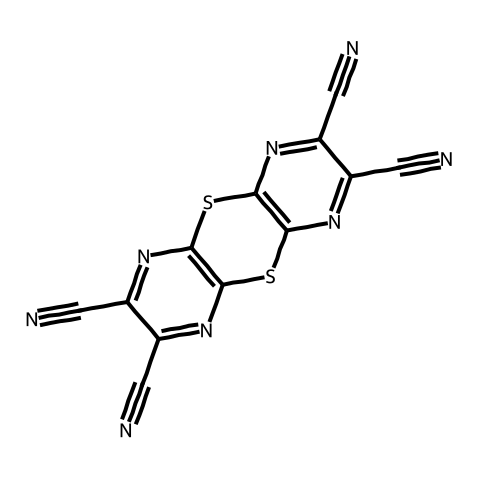 N#Cc1nc2c(nc1C#N)Sc1nc(C#N)c(C#N)nc1S2